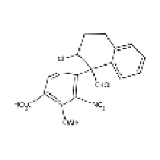 COc1c(C(=O)O)ccc(C2(C=O)c3ccccc3CCC2Cl)c1[N+](=O)[O-]